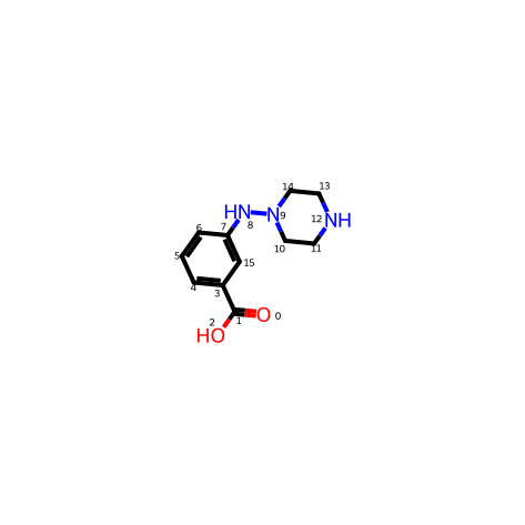 O=C(O)c1cccc(NN2CCNCC2)c1